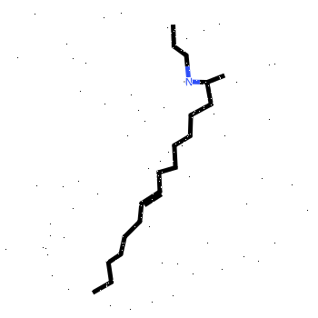 CCCCCC/C=C/CCCCCCC(C)[N]CCC